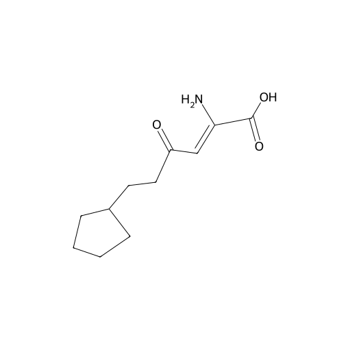 NC(=CC(=O)CCC1CCCC1)C(=O)O